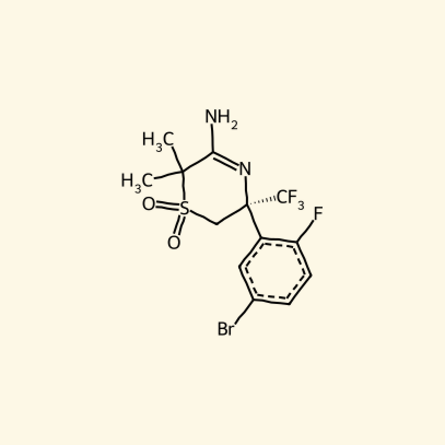 CC1(C)C(N)=N[C@](c2cc(Br)ccc2F)(C(F)(F)F)CS1(=O)=O